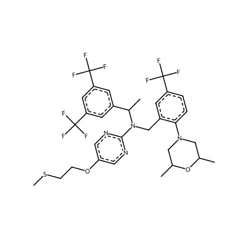 CSCCOc1cnc(N(Cc2cc(C(F)(F)F)ccc2N2CC(C)OC(C)C2)C(C)c2cc(C(F)(F)F)cc(C(F)(F)F)c2)nc1